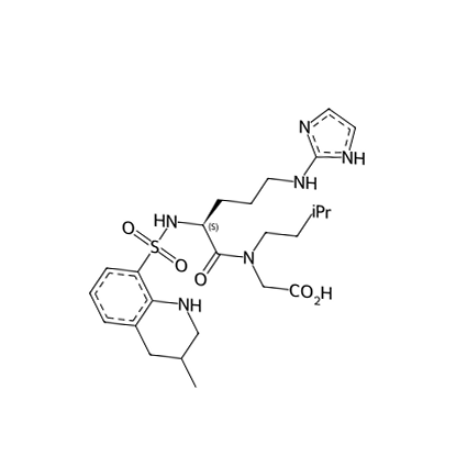 CC(C)CCN(CC(=O)O)C(=O)[C@H](CCCNc1ncc[nH]1)NS(=O)(=O)c1cccc2c1NCC(C)C2